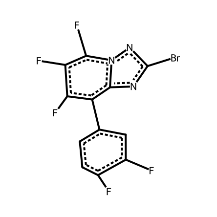 Fc1ccc(-c2c(F)c(F)c(F)n3nc(Br)nc23)cc1F